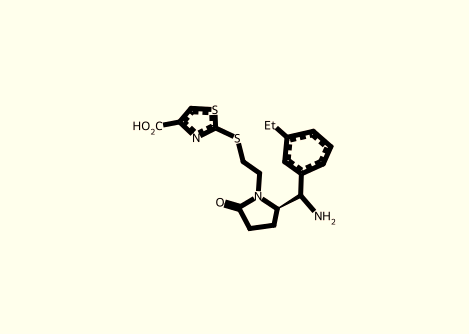 CCc1cccc(C(N)[C@H]2CCC(=O)N2CCSc2nc(C(=O)O)cs2)c1